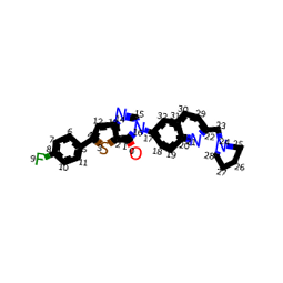 O=c1c2sc(-c3ccc(F)cc3)cc2ncn1-c1ccc2nc(CN3CCCC3)ccc2c1